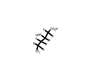 O=C(O)C(F)(F)C(F)(F)C(F)(F)C(F)(F)C(F)(F)F.[LiH]